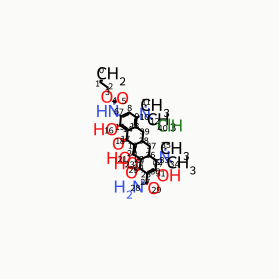 C=CCOC(=O)Nc1cc(N(C)C)c2c(c1O)C(=O)C1=C(O)[C@]3(O)C(=O)C(C(N)=O)=C(O)[C@@H](N(C)C)C3CC1C2.Cl